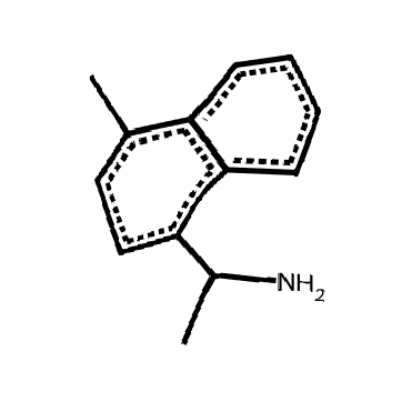 Cc1ccc(C(C)N)c2ccccc12